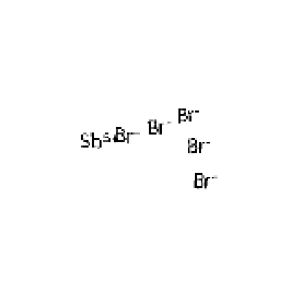 [Br-].[Br-].[Br-].[Br-].[Br-].[Sb+5]